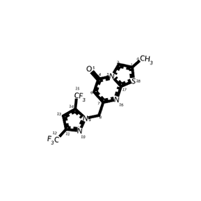 Cc1cn2c(=O)cc(Cn3nc(C(F)(F)F)cc3C(F)(F)F)nc2s1